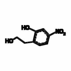 O=[N+]([O-])c1ccc(CCO)c(O)c1